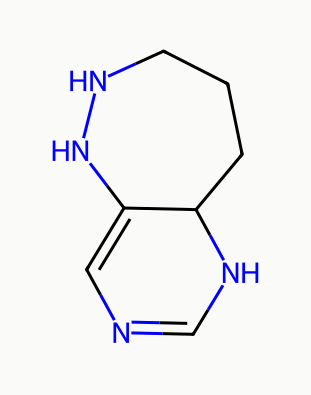 C1=NC=C2NNCCCC2N1